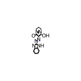 O=c1c(/N=N/c2nc3ccccc3[nH]2)c(O)n2n1CCC2